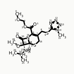 COCOC(=O)C1=C(CSc2nnnn2C)CS[C@@H]2N1C(=O)[C@]2(N[PH2](C)C)OC